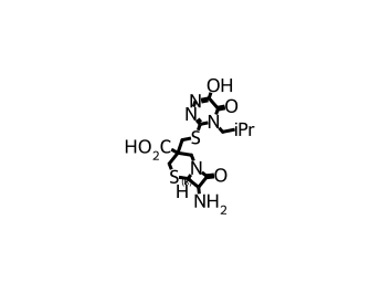 CC(C)Cn1c(SCC2(C(=O)O)CS[C@@H]3C(N)C(=O)N3C2)nnc(O)c1=O